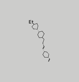 C=C[C@H]1CC[C@H](/C=C/CCC2CCC([C@H]3CC[C@H](CC)CC3)CC2)CC1